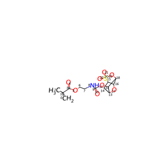 C=C(C)C(=O)OCCNC(=O)OC1C2CC3C(O2)C1OS3(=O)=O